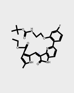 CCOC(=O)c1cc(C)[nH]c1/C=C1\C(=O)Nc2ccc(-c3ccc(F)cc3OCCNC(=O)OC(C)(C)C)nc21